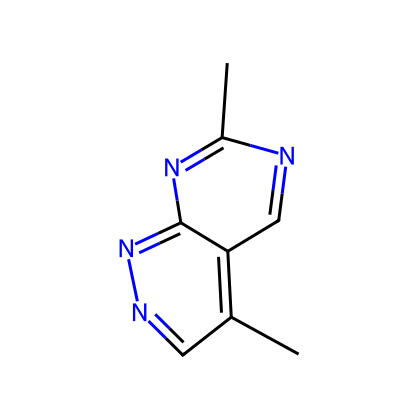 Cc1ncc2c(C)cnnc2n1